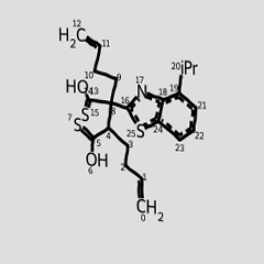 C=CCCC(C(O)=S)C(CCC=C)(C(O)=S)c1nc2c(C(C)C)cccc2s1